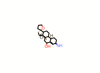 CC[C@]12CCC3C(CC(O)C4=CC(=N)CC[C@@H]43)C1CC[C@@]21CCCO1